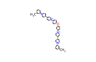 Cc1cccc(-[n+]2ccc(-c3cc[n+](-c4ccc(Oc5ccc(-[n+]6ccc(-c7cc[n+](-c8cccc(C)c8)cc7)cc6)cc5)cc4)cc3)cc2)c1